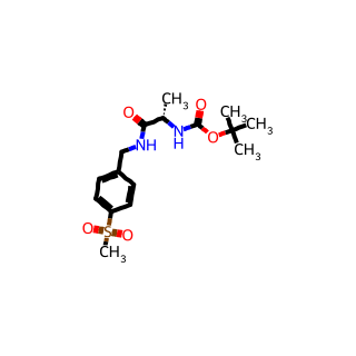 C[C@H](NC(=O)OC(C)(C)C)C(=O)NCc1ccc(S(C)(=O)=O)cc1